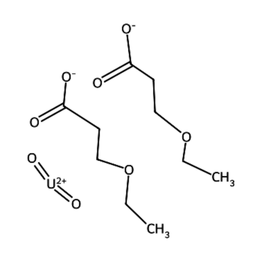 CCOCCC(=O)[O-].CCOCCC(=O)[O-].[O]=[U+2]=[O]